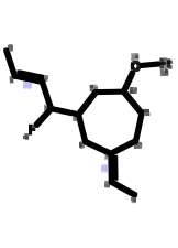 C/C=C/C(F)C1C/C(=C/C)CCC(OCC)C1